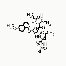 C=CC(=O)N[C@@H](C(=O)N1C[C@H](Oc2nccc3cc(OC)ccc23)C[C@H]1C(=O)N[C@]1(C(=O)NS(=O)(=O)C2CC2)CC1C=C)C(C)C